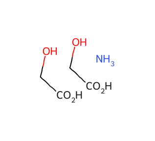 N.O=C(O)CO.O=C(O)CO